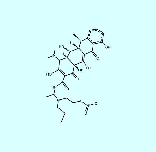 CCCN(CCO[N+](=O)[O-])C(C)NC(=O)C1=C(O)[C@@H](N(C)C)[C@@H]2[C@@H](O)[C@H]3C(=C(O)[C@]2(O)C1=O)C(=O)c1c(O)cccc1[C@@H]3C